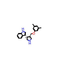 Cc1cc(C)cc(OC[C@H]2CNC[C@@H]2c2c[nH]c3ccccc23)c1